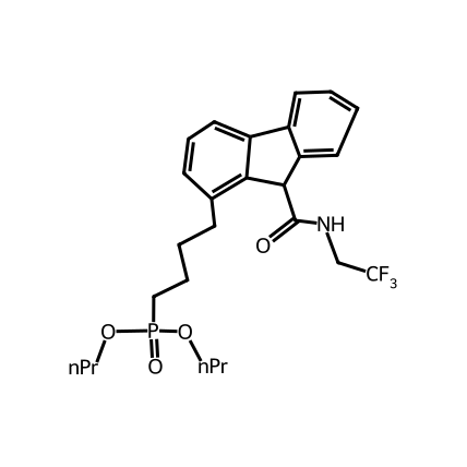 CCCOP(=O)(CCCCc1cccc2c1C(C(=O)NCC(F)(F)F)c1ccccc1-2)OCCC